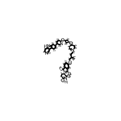 O=C1CCC(N2C(=O)c3ccc(OCC(F)CCN4CCC(OC5CC(Oc6ccc(-c7ccc8c(c7)[nH]c7ccncc78)cn6)C5)CC4)cc3C2=O)C(=O)N1